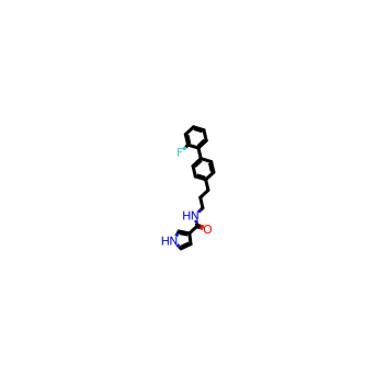 O=C(NCCCc1ccc(-c2ccccc2F)cc1)c1cc[nH]c1